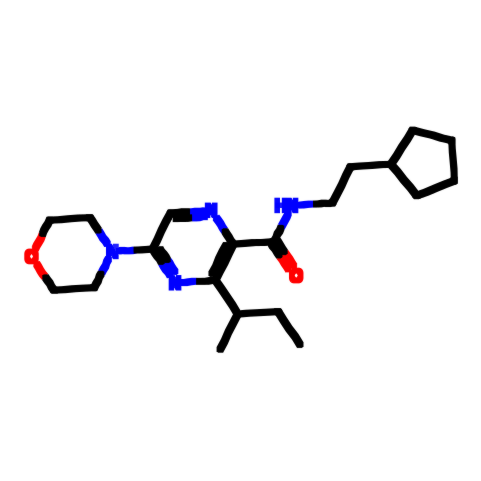 CCC(C)c1nc(N2CCOCC2)cnc1C(=O)NCCC1CCCC1